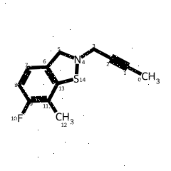 CC#CCN1Cc2ccc(F)c(C)c2S1